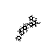 CC(=O)c1c(C)c2cnc(Nc3cc(F)c4c(c3)OC[C@@H]3CN(C5CCOCC5)CCN43)nc2n(C2CCCC2)c1=O